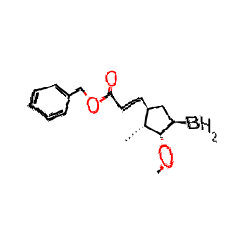 B[C@@H]1C[C@H](/C=C/C(=O)OCc2ccccc2)[C@@H](C)[C@H]1OC